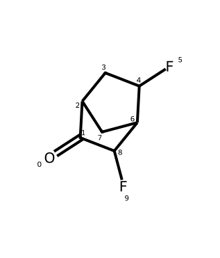 O=C1C2CC(F)C(C2)C1F